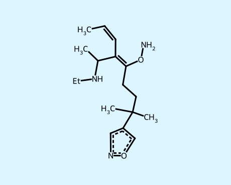 C/C=C\C(=C(\CCC(C)(C)c1cnoc1)ON)C(C)NCC